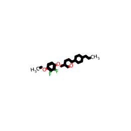 CCCC1CCC(C2CCC(COc3ccc(OCC)c(F)c3F)CO2)CC1